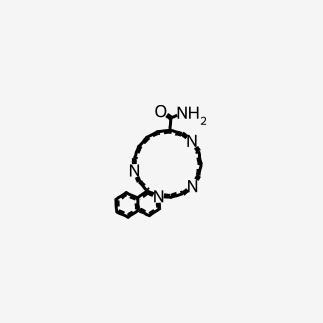 NC(=O)c1ccccncc2c3ccccc3ccn2ccncccnc1